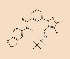 Cc1nn(-c2cccc(C(=O)N(C)c3ccc4c(c3)OCO4)c2)c(CO[Si](C)(C)C(C)(C)C)c1Cl